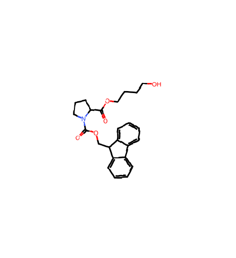 O=C(OCCCCO)C1CCCN1C(=O)OCC1c2ccccc2-c2ccccc21